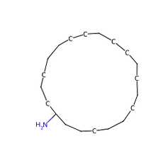 NC1CCCCCCCCCCCCCCCCCCC1